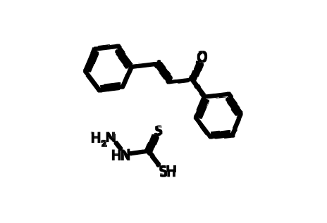 NNC(=S)S.O=C(C=Cc1ccccc1)c1ccccc1